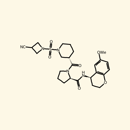 COc1ccc2c(c1)[C@H](NC(=O)[C@H]1CCCN1C(=O)[C@H]1CCCN(S(=O)(=O)N3CC(C#N)C3)C1)CCO2